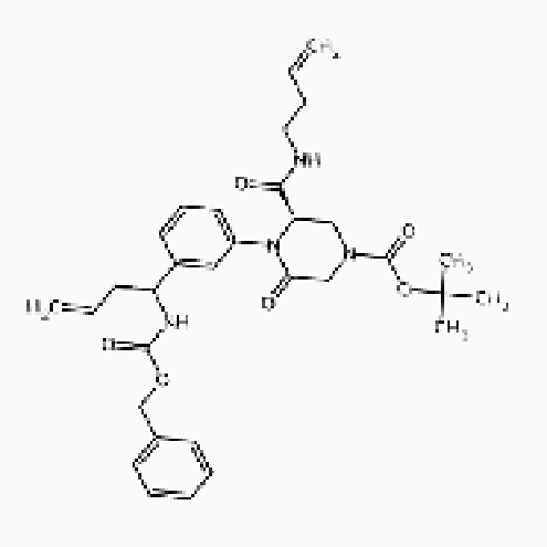 C=CCCNC(=O)[C@H]1CN(C(=O)OC(C)(C)C)CC(=O)N1c1cccc([C@H](CC=C)NC(=O)OCc2ccccc2)c1